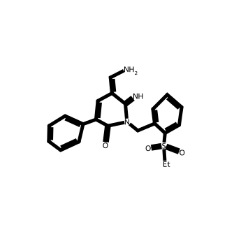 CCS(=O)(=O)c1ccccc1CN1C(=N)/C(=C\N)C=C(c2ccccc2)C1=O